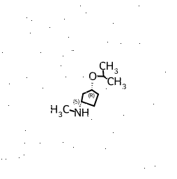 CN[C@H]1CC[C@@H](OC(C)C)C1